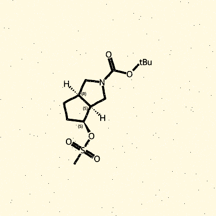 CC(C)(C)OC(=O)N1C[C@@H]2CC[C@H](OS(C)(=O)=O)[C@@H]2C1